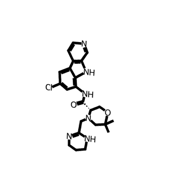 CC1(C)CN(CC2=NCCCN2)[C@H](C(=O)Nc2cc(Cl)cc3c2[nH]c2cnccc23)CO1